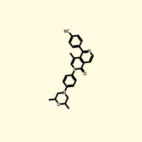 Cc1cn(-c2ccc(N3CC(C)OC(C)C3)cc2)c(=O)c2ccnc(-c3ccc(C#N)cc3)c12